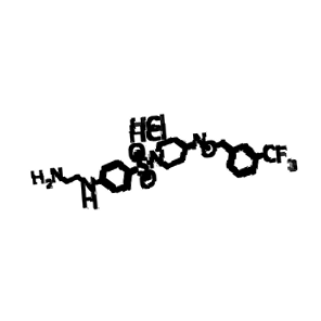 Cl.Cl.NCCNc1ccc(S(=O)(=O)N2CCC(=NOCc3cccc(C(F)(F)F)c3)CC2)cc1